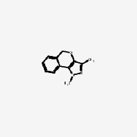 Cc1nn(C)c2c1OCc1ccccc1-2